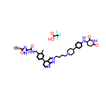 Cc1cc(-c2ccnc3nn(CCCCN4CCC(c5ccc(NC6CCC(=O)NC6=O)cc5)CC4)cc23)ccc1CNC(=O)c1noc(C(C)(C)C)n1.O=C(O)C(F)(F)F